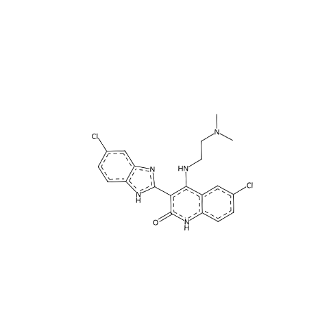 CN(C)CCNc1c(-c2nc3cc(Cl)ccc3[nH]2)c(=O)[nH]c2ccc(Cl)cc12